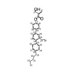 C=C(CO)C(=O)Oc1ccc(-c2ccc(-c3ccc(CCCCC)cc3)c(CC)c2)cc1